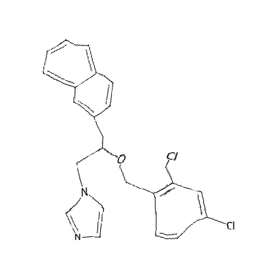 Clc1ccc(COC(Cn2ccnc2)c2ccc3ccccc3c2)c(Cl)c1